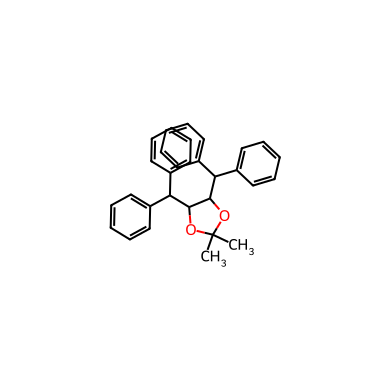 CC1(C)OC(C(c2ccccc2)c2ccccc2)C(C(c2ccccc2)c2ccccc2)O1